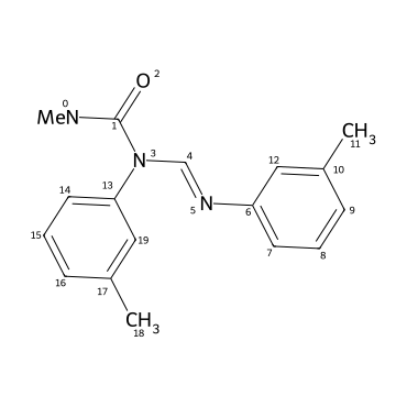 CNC(=O)N(C=Nc1cccc(C)c1)c1cccc(C)c1